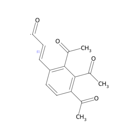 CC(=O)c1ccc(/C=C/[C]=O)c(C(C)=O)c1C(C)=O